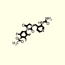 CS(=O)(=O)c1c(F)cc(N2C(=O)CN(Cc3ccncc3NC(N)=O)C2=O)c(F)c1F